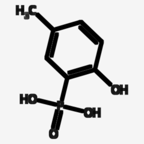 Cc1ccc(O)c(P(=O)(O)O)c1